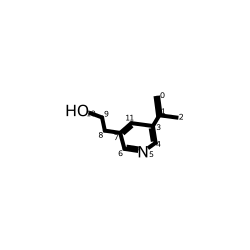 C=C(C)c1cncc(CCO)c1